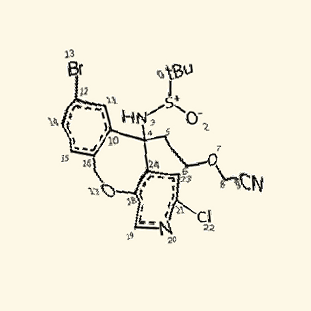 CC(C)(C)[S+]([O-])NC1(CCOCC#N)c2cc(Br)ccc2Oc2cnc(Cl)cc21